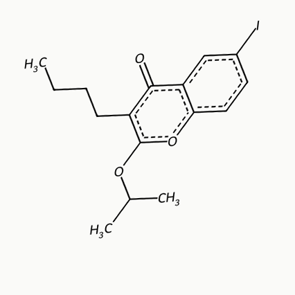 CCCCc1c(OC(C)C)oc2ccc(I)cc2c1=O